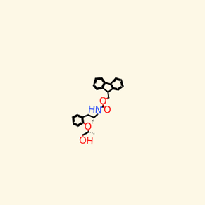 C[C@@H](CNC(=O)OCC1c2ccccc2-c2ccccc21)Cc1ccccc1O[C@H](C)CO